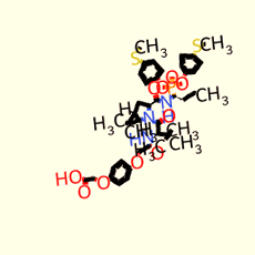 CCC[C@H](NC(=O)[C@@H]1C[C@H]2[C@@H](N1C(=O)[C@@H](NC(=O)COc1ccc(OCC(=O)O)cc1)C(C)(C)C)C2(C)C)P(=O)(Oc1ccc(SC)cc1)Oc1ccc(SC)cc1